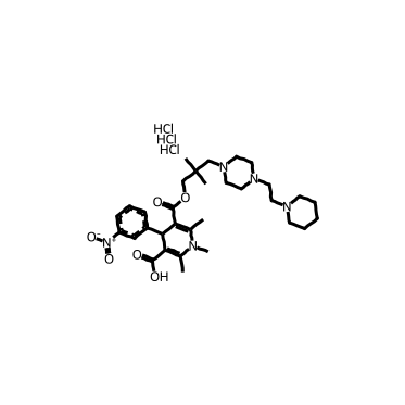 CC1=C(C(=O)O)C(c2cccc([N+](=O)[O-])c2)C(C(=O)OCC(C)(C)CN2CCN(CCN3CCCCC3)CC2)=C(C)N1C.Cl.Cl.Cl